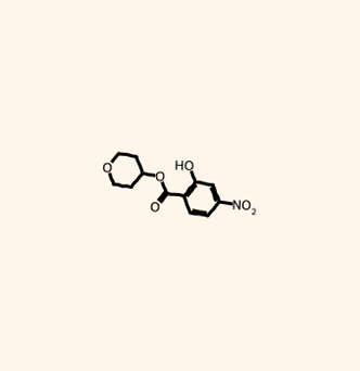 O=C(OC1CCOCC1)c1ccc([N+](=O)[O-])cc1O